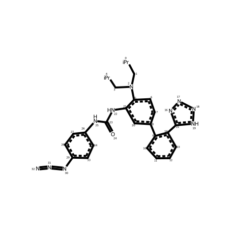 CC(C)CN(CC(C)C)c1ccc(-c2ccccc2-c2nnn[nH]2)cc1NC(=O)Nc1ccc(N=[N+]=[N-])cc1